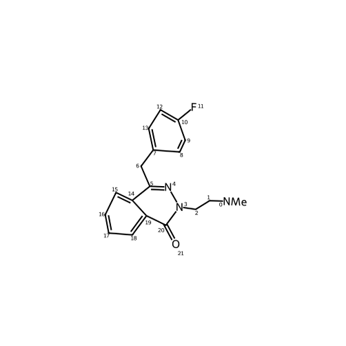 CNCCn1nc(Cc2ccc(F)cc2)c2ccccc2c1=O